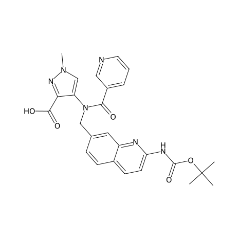 Cn1cc(N(Cc2ccc3ccc(NC(=O)OC(C)(C)C)nc3c2)C(=O)c2cccnc2)c(C(=O)O)n1